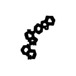 c1ccc2c(c1)CC1(CCN(c3nccn4c(N5CCCc6ncccc65)ncc34)CC1)O2